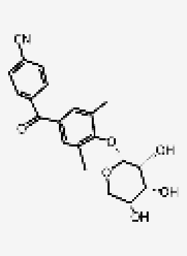 Cc1cc(C(=O)c2ccc(C#N)cc2)cc(C)c1O[C@H]1OC[C@@H](O)[C@@H](O)[C@H]1O